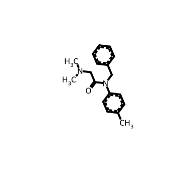 Cc1ccc(N(Cc2ccccc2)C(=O)CN(C)C)cc1